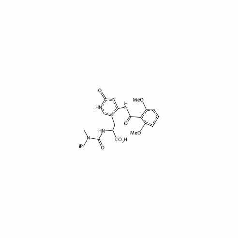 COc1cccc(OC)c1C(=O)Nc1nc(=O)[nH]cc1CC(NC(=O)N(C)C(C)C)C(=O)O